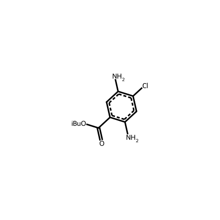 CC(C)COC(=O)c1cc(N)c(Cl)cc1N